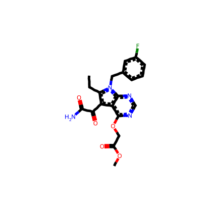 CCc1c(C(=O)C(N)=O)c2c(OCC(=O)OC)ncnc2n1Cc1cccc(F)c1